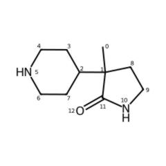 CC1(C2CCNCC2)CCNC1=O